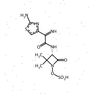 CC1(C)[C@H](NC(=O)C(=N)c2csc(N)n2)C(=O)N1OS(=O)(=O)O